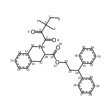 CCC(C)(C)C(=O)C(=O)N1Cc2ccccc2CC1C(=O)OCCC(c1ccccc1)c1ccccc1